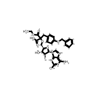 CCOC(=O)C(Cc1ccc(OCc2ccccc2)cc1)(OC[C@H]1O[C@@H](n2cnc3c(N)nc(Cl)nc32)[C@@H](F)[C@@H]1O)C(=O)O